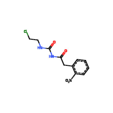 O=C(Cc1ccccc1[N+](=O)[O-])NC(=O)NCCCl